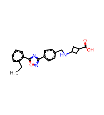 CCc1ccccc1-c1nc(-c2ccc(CNC3CC(C(=O)O)C3)cc2)no1